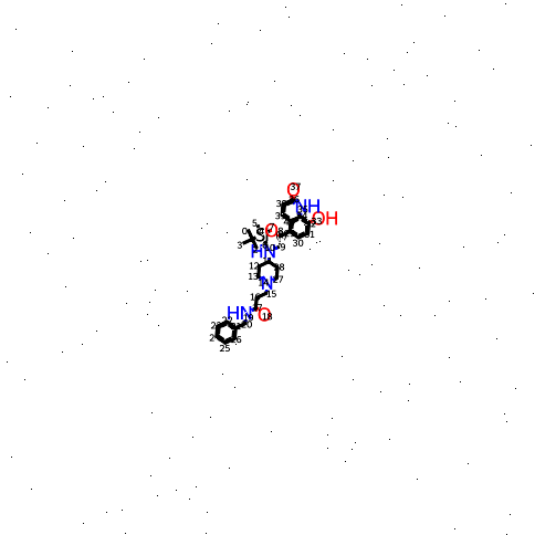 CC(C)(C)[Si](C)(C)O[C@@H](CNC1CCN(CCC(=O)NCc2ccccc2)CC1)c1ccc(O)c2[nH]c(=O)ccc12